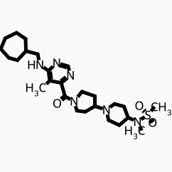 Cc1c(NCC2CCCCCC2)ncnc1C(=O)N1CCC(N2CCC(N(C)S(C)(=O)=O)CC2)CC1